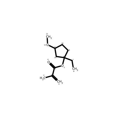 C=C(C)C(=O)OC1(CC)CCC(OC)C1